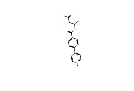 CC(CC(=O)[O-])NC(=O)c1ccc(-c2cc[n+](O)cc2)cc1